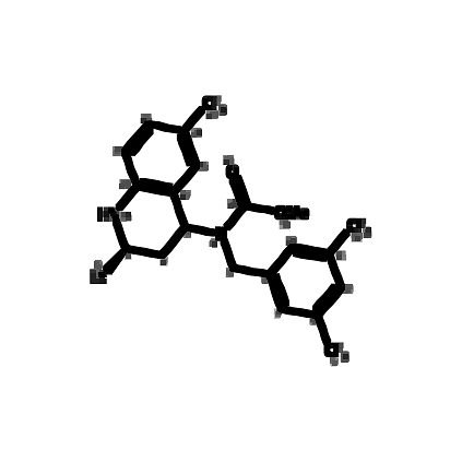 CC[C@@H]1CC(N(Cc2cc(C(F)(F)F)cc(C(F)(F)F)c2)C(=O)OC)c2cc(C(F)(F)F)ccc2N1